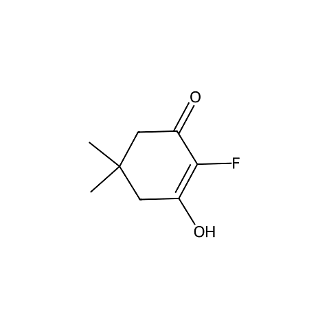 CC1(C)CC(=O)C(F)=C(O)C1